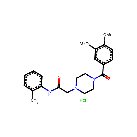 COc1ccc(C(=O)N2CCN(CC(=O)Nc3ccccc3[N+](=O)[O-])CC2)cc1OC.Cl